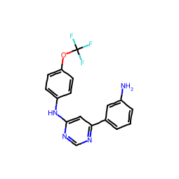 Nc1cccc(-c2cc(Nc3ccc(OC(F)(F)F)cc3)ncn2)c1